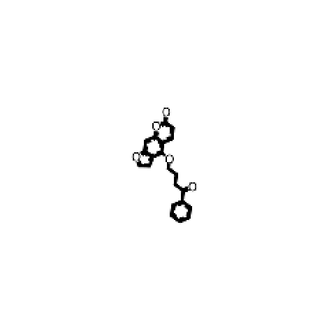 O=C(CCCOc1c2ccoc2cc2oc(=O)ccc12)c1ccccc1